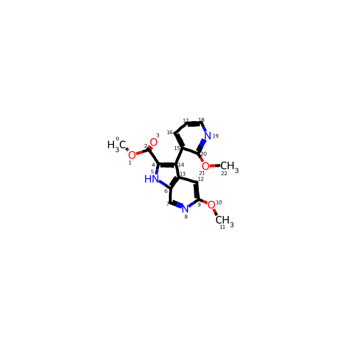 COC(=O)c1[nH]c2cnc(OC)cc2c1-c1cccnc1OC